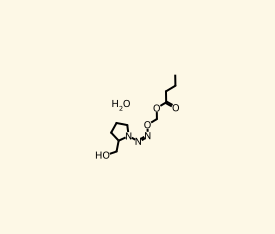 CCCC(=O)OCO/N=N\N1CCCC1CO.O